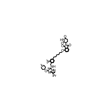 CC(C)c1cnn2c(NCc3ccc(CCCCCCOc4cccc5c4C(=O)N(C4CCC(=O)NC4=O)C5=O)cc3N(C)C)nc(OC3CCN(C)CC3)nc12